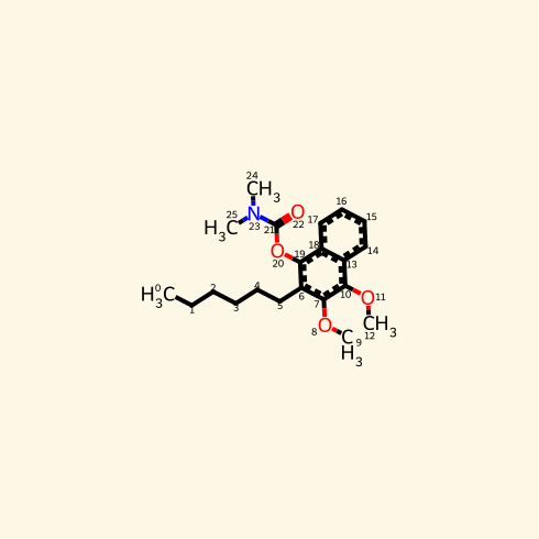 CCCCCCc1c(OC)c(OC)c2ccccc2c1OC(=O)N(C)C